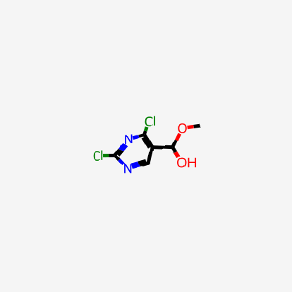 COC(O)c1cnc(Cl)nc1Cl